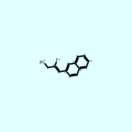 CC(C)CC(F)=Cc1ccc2ccccc2c1